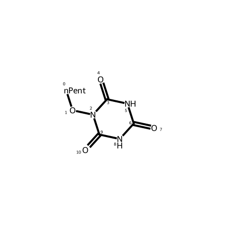 CCCCCOn1c(=O)[nH]c(=O)[nH]c1=O